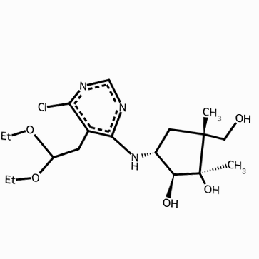 CCOC(Cc1c(Cl)ncnc1N[C@@H]1C[C@](C)(CO)[C@@](C)(O)[C@H]1O)OCC